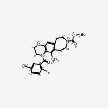 Cc1c2c(cc3c1N(C(=O)c1cc(Cl)ccc1F)CCO3)CCN(C(=O)OC(C)(C)C)CC2